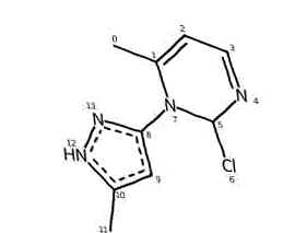 CC1=CC=NC(Cl)N1c1cc(C)[nH]n1